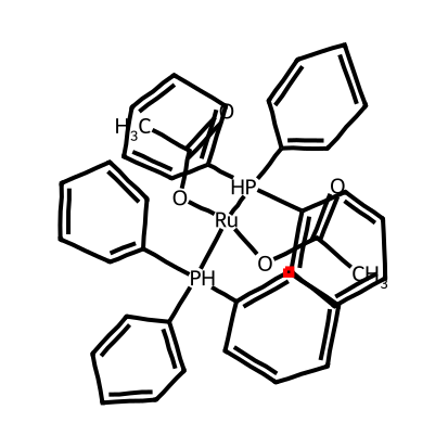 CC(=O)[O][Ru]([O]C(C)=O)([PH](c1ccccc1)(c1ccccc1)c1ccccc1)[PH](c1ccccc1)(c1ccccc1)c1ccccc1